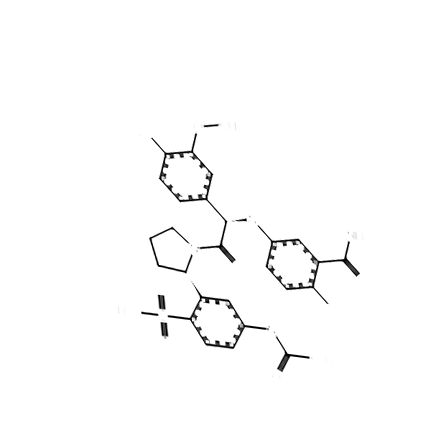 COc1cc([C@@H](Nc2ccc(F)c(C(N)=O)c2)C(=O)N2CCC[C@@H]2c2cc(NC(C)=O)ccc2S(C)(=O)=O)ccc1C